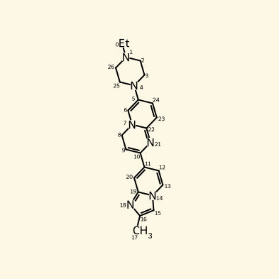 CCN1CCN(C2=CN3CC=C(c4ccn5cc(C)nc5c4)N=C3C=C2)CC1